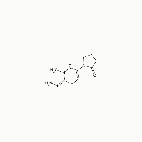 CN1NC(N2CCCC2=O)=CCC1=NN